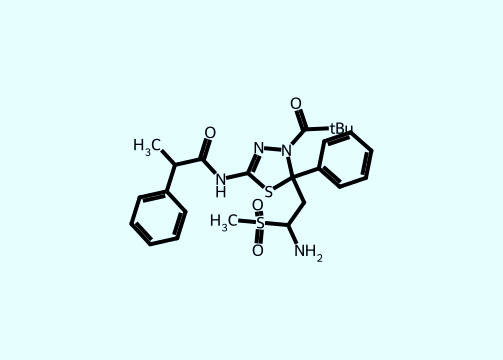 CC(C(=O)NC1=NN(C(=O)C(C)(C)C)C(CC(N)S(C)(=O)=O)(c2ccccc2)S1)c1ccccc1